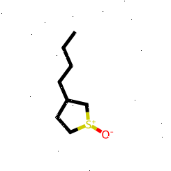 CCCCC1CC[S+]([O-])C1